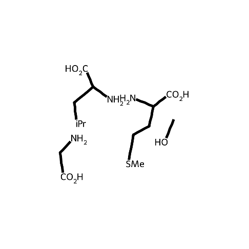 CC(C)CC(N)C(=O)O.CO.CSCCC(N)C(=O)O.NCC(=O)O